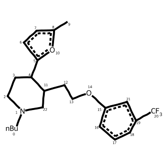 CCCCN1CCC(c2ccc(C)o2)C(CCOc2cccc(C(F)(F)F)c2)C1